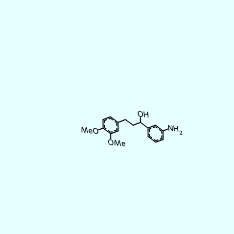 COc1ccc(CCC(O)c2cccc(N)c2)cc1OC